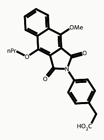 CCCOc1c2c(c(OC)c3ccccc13)C(=O)N(c1ccc(CC(=O)O)cc1)C2=O